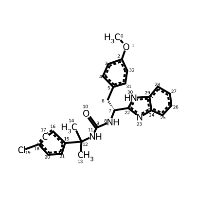 COc1ccc(C[C@@H](NC(=O)NC(C)(C)c2ccc(Cl)cc2)c2nc3ccccc3[nH]2)cc1